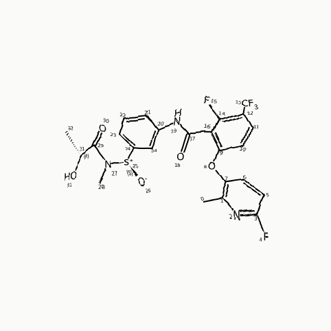 Cc1nc(F)ccc1Oc1ccc(C(F)(F)F)c(F)c1C(=O)Nc1cccc([S@@+]([O-])N(C)C(=O)[C@@H](C)O)c1